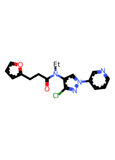 CCN(C(=O)CCc1ccco1)c1cn(-c2cccnc2)nc1Cl